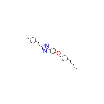 CCCCCC1CCC(COc2ccc(-c3ncc(CCC4CCC(CC)CC4)cn3)cc2)CC1